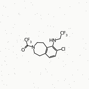 O=C(N1CCc2ccc(Cl)c(NCC(F)(F)F)c2CC1)C(F)(F)F